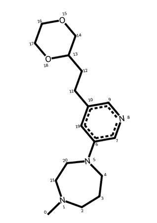 CN1CCCN(c2cncc(CCC3COCCO3)c2)CC1